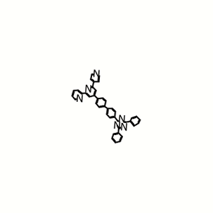 c1ccc(-c2nc(-c3ccccc3)nc(-c3ccc(-c4ccc(-c5cc(-c6ccncc6)nc(-c6ccccn6)c5)cc4)cc3)n2)cc1